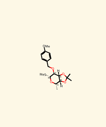 COc1ccc(CO[C@H]2[C@@H]3OC(C)(C)O[C@@H]3[C@H](C)O[C@@H]2SC)cc1